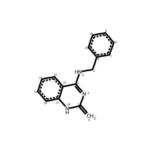 C=C1N=C(NCc2ccccc2)c2ccccc2N1